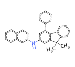 CC1(C)c2ccccc2-c2c(-c3ccccc3)cc(Nc3ccc4ccccc4c3)cc21